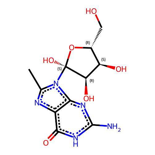 Cc1nc2c(=O)[nH]c(N)nc2n1[C@@]1(O)O[C@H](CO)[C@@H](O)[C@H]1O